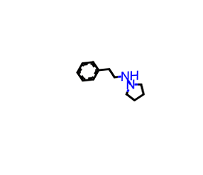 c1ccc(CCNN2CCCC2)cc1